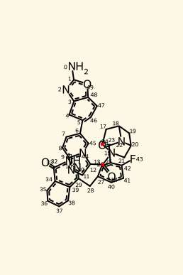 Nc1nc2cc(-c3ccc4ncc(C(=O)N5CCC6CC(C5)N6C(=O)c5cc(Cc6n[nH]c(=O)c7ccccc67)ccc5F)n4c3)ccc2o1